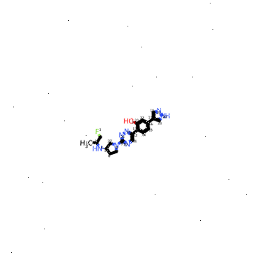 CC(CF)N[C@H]1CCN(c2ncc(-c3ccc(-c4cn[nH]c4)cc3O)nn2)C1